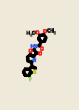 COc1ccc(C(=O)NC2Oc3ccc(-c4csc5c(F)cccc45)nc3C2=O)cc1OC